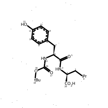 CC(C)C[C@H](NC(=O)[C@H](Cc1ccc(O)cc1)NC(=O)OC(C)(C)C)C(=O)O